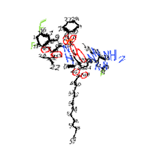 C#C[C@]1(CO[P@@](=O)(N[C@@H](Cc2cc(F)cc(F)c2)C(=O)OC(C)C)Oc2ccccc2)O[C@@H](n2cnc3c(N)nc(F)nc32)C[C@@H]1OC(=O)CCCCCCCCCCC